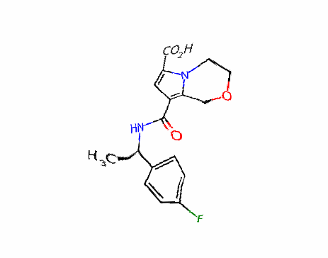 C[C@@H](NC(=O)c1cc(C(=O)O)n2c1COCC2)c1ccc(F)cc1